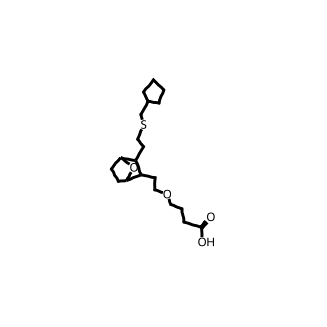 O=C(O)CCCOCCC1C2CCC(O2)C1CCSCC1CCCC1